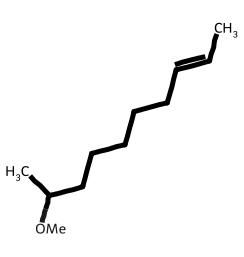 C/C=C/CCCCCC(C)OC